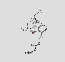 C=C1CC[C@@]2(O)C3Cc4ccc(OCOC(=O)OCCCCCCCCCC)c5c4[C@@]2(CCN3CC2CC2)[C@H]1O5